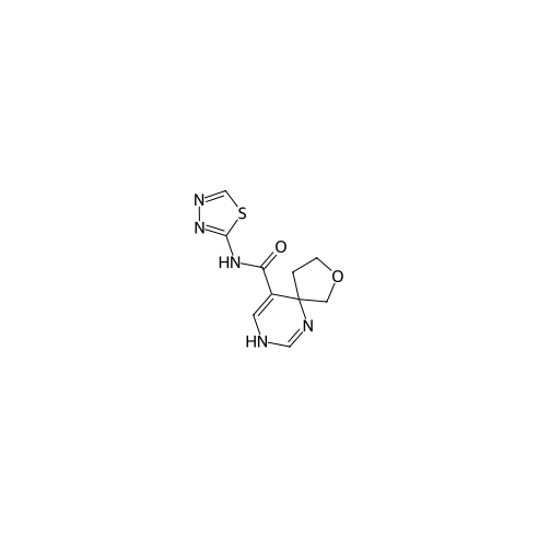 O=C(Nc1nncs1)C1=CNC=NC12CCOC2